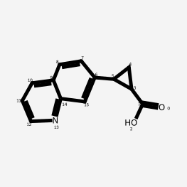 O=C(O)C1CC1c1ccc2cccnc2c1